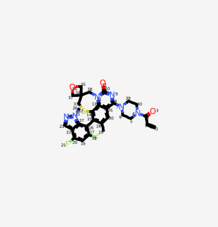 C=CC(=O)N1CCN(c2nc(=O)n3c4c(c(-c5c(F)cc(F)c6cnn(C)c56)c(C)cc24)SCC2(COC2)C3)CC1